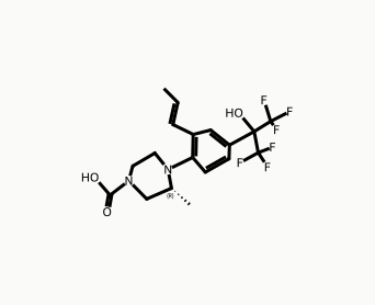 CC=Cc1cc(C(O)(C(F)(F)F)C(F)(F)F)ccc1N1CCN(C(=O)O)C[C@H]1C